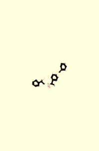 O=C(ON(O)C1COc2cc(OCc3ccccc3)ccc21)[C@@H](O)c1ccccc1